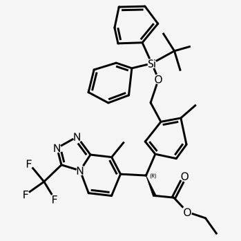 CCOC(=O)C[C@H](c1ccc(C)c(CO[Si](c2ccccc2)(c2ccccc2)C(C)(C)C)c1)c1ccn2c(C(F)(F)F)nnc2c1C